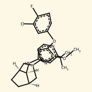 COc1cc(N2C[C@H]3CC[C@@H](C2)[C@H]3Nc2nc(Oc3ccc(F)c(Cl)c3)n(C(C)C)n2)ccn1